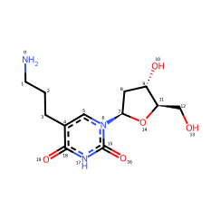 NCCCc1cn([C@H]2C[C@H](O)[C@@H](CO)O2)c(=O)[nH]c1=O